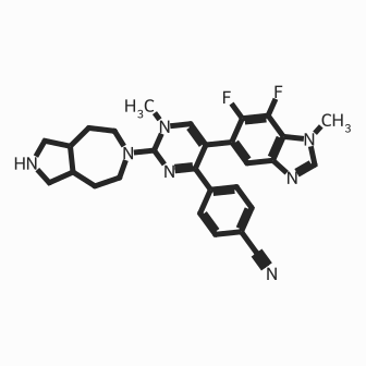 CN1C=C(c2cc3ncn(C)c3c(F)c2F)C(c2ccc(C#N)cc2)=NC1N1CCC2CNCC2CC1